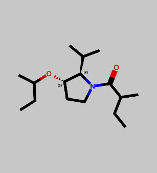 CCC(C)O[C@H]1CCN(C(=O)C(C)CC)[C@@H]1C(C)C